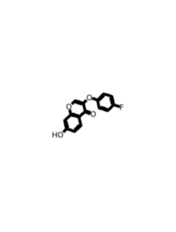 O=c1c(Oc2ccc(F)cc2)coc2cc(O)ccc12